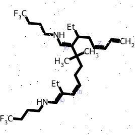 C=C/C=C\CC(CC)/C(=C\NCCCC(F)(F)F)C(C)(C)CC/C=C\C(=C\NCCCC(F)(F)F)CC